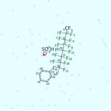 FC(F)(F)C(F)(F)C(F)(F)C(F)(F)C(F)(F)C(F)(F)C(F)(F)C(F)(F)[I+]c1ccccc1.O=S(=O)([O-])O